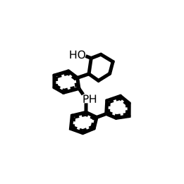 OC1CCCCC1c1ccccc1Pc1ccccc1-c1ccccc1